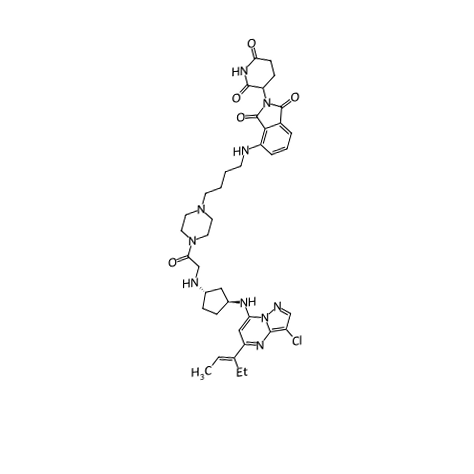 C/C=C(\CC)c1cc(N[C@H]2CC[C@H](NCC(=O)N3CCN(CCCCNc4cccc5c4C(=O)N(C4CCC(=O)NC4=O)C5=O)CC3)C2)n2ncc(Cl)c2n1